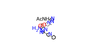 CC(=O)Nc1cncnc1N1CC[C@@H](c2nc3c(-c4ccc(-c5ccccc5)nc4)cnn3c(N)c2S(C)(=O)=O)C[C@@H]1C